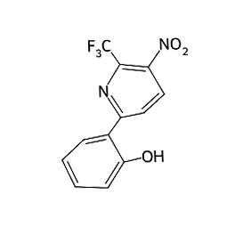 O=[N+]([O-])c1ccc(-c2ccccc2O)nc1C(F)(F)F